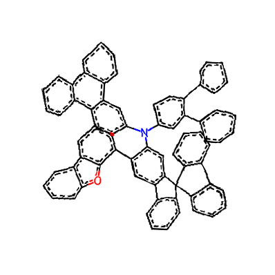 c1ccc(-c2ccc(N(c3ccc4c5ccccc5c5ccccc5c4c3)c3cc4c(cc3-c3cccc5c3oc3ccccc35)-c3ccccc3C43c4ccccc4-c4ccccc43)cc2-c2ccccc2)cc1